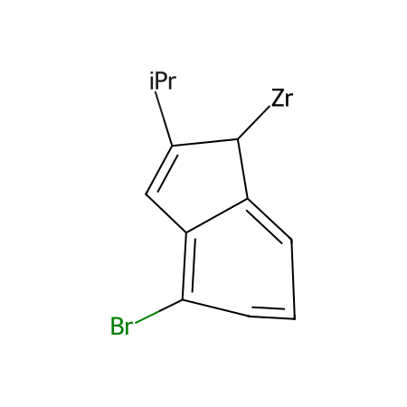 CC(C)C1=Cc2c(Br)cccc2[CH]1[Zr]